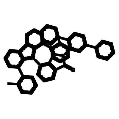 Cc1ccccc1-c1cccc2c3cccc(-c4ccccc4C)c3n(-c3cccc4c3C(=O)N(c3cc(-c5ccccc5)ccc3-c3ccccc3)C4=O)c12